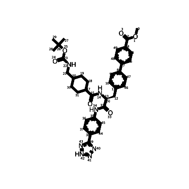 COC(=O)c1ccc(-c2ccc(C[C@H](NC(=O)C3CCC(CNC(=O)OC(C)(C)C)CC3)C(=O)Nc3ccc(-c4nn[nH]n4)cc3)cc2)cc1